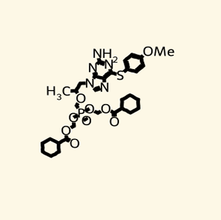 COc1ccc(Sc2nc(N)nc3c2ncn3CC(C)OCP(=O)(OCOC(=O)C2CCCCC2)OCOC(=O)C2CCCCC2)cc1